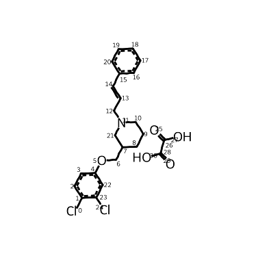 Clc1ccc(OCC2CCCN(CC=Cc3ccccc3)C2)cc1Cl.O=C(O)C(=O)O